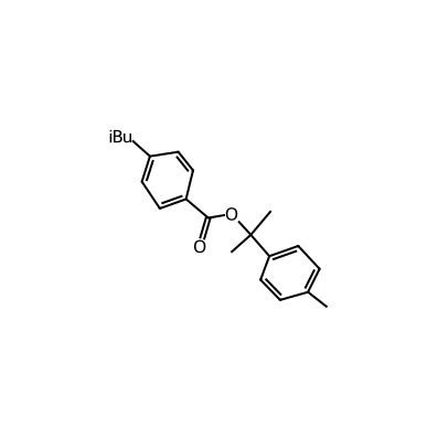 CCC(C)c1ccc(C(=O)OC(C)(C)c2ccc(C)cc2)cc1